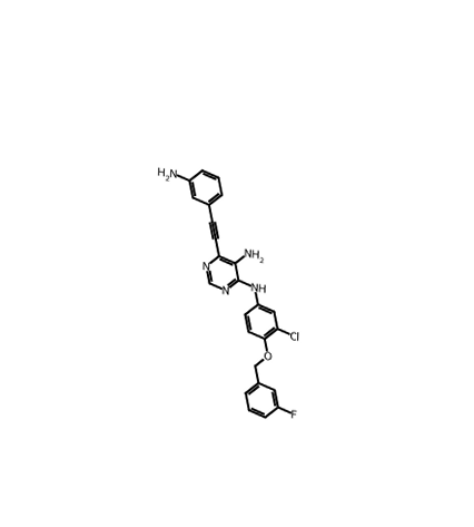 Nc1cccc(C#Cc2ncnc(Nc3ccc(OCc4cccc(F)c4)c(Cl)c3)c2N)c1